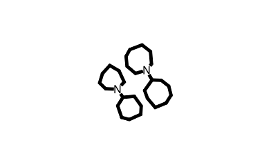 C1CCCC(N2CCCCCC2)CC1.C1CCCC(N2CCCCCCC2)CCC1